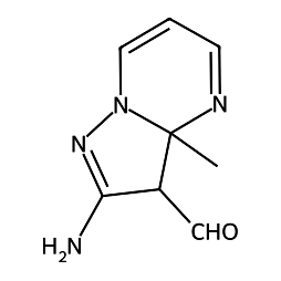 CC12N=CC=CN1N=C(N)C2C=O